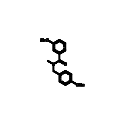 COc1ccc(CN(C)C(=O)c2cccc(OC)c2)cc1